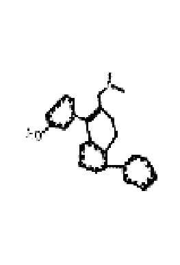 CN(C)CC1=C(c2cccc(O)c2)c2cccc(-c3ccccc3)c2CC1